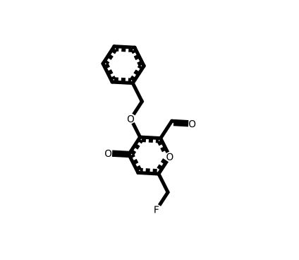 O=Cc1oc(CF)cc(=O)c1OCc1ccccc1